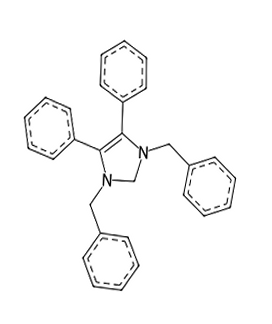 c1ccc(CN2CN(Cc3ccccc3)C(c3ccccc3)=C2c2ccccc2)cc1